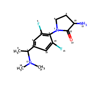 CC(c1cc(F)c(N2CCC(N)C2=O)c(F)c1)N(C)C